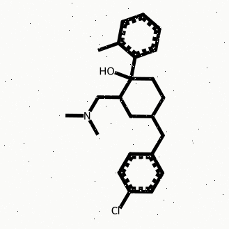 Cc1ccccc1C1(O)CCC(Cc2ccc(Cl)cc2)CC1CN(C)C